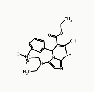 CCOC(=O)C1=C(C)Nc2ncc(N(CC)CC)n2C1c1cccc([N+](=O)[O-])c1